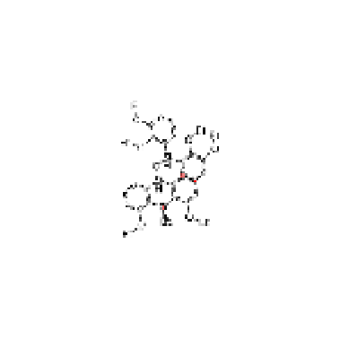 CCOc1cccc([SiH](O[SiH](c2cccc(OCC)c2OCC)c2cccc(OCC)c2OCC)c2cccc(OCC)c2OCC)c1OCC